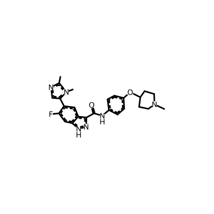 Cc1ncc(-c2cc3c(C(=O)Nc4ccc(OC5CCN(C)CC5)cc4)n[nH]c3cc2F)n1C